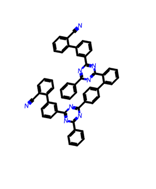 N#Cc1ccccc1-c1cccc(-c2nc(-c3ccccc3)nc(-c3ccc(-c4ccccc4-c4nc(-c5ccccc5)nc(-c5cccc(-c6ccccc6C#N)c5)n4)cc3)n2)c1